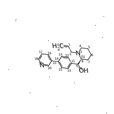 C=CCN1CCCC[C@H]1C(O)c1ccc(-c2cccnc2)cc1